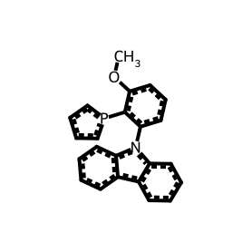 COc1cccc(-n2c3ccccc3c3ccccc32)c1-p1cccc1